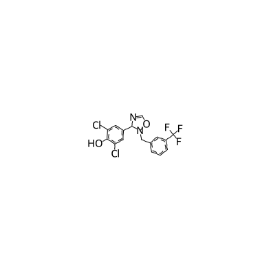 Oc1c(Cl)cc(C2N=CON2Cc2cccc(C(F)(F)F)c2)cc1Cl